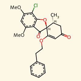 COc1cc(OC)c2c(c1Cl)O[C@]1(C2=O)C(OCCc2ccccc2)=CC(=O)C[C@H]1C